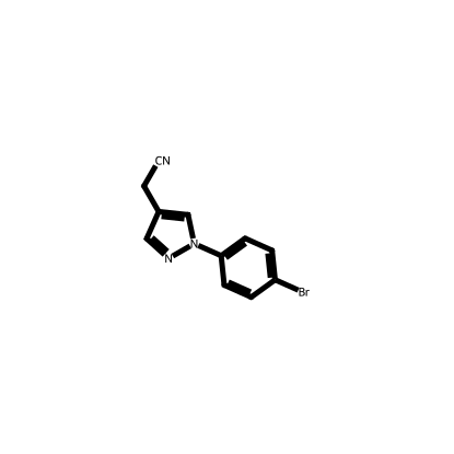 N#CCc1cnn(-c2ccc(Br)cc2)c1